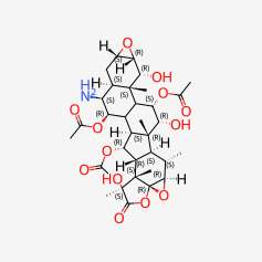 CC(=O)O[C@H]1[C@@H]2[C@H]([C@H](C)[C@H]3O[C@]34OC(=O)[C@@](C)(O)[C@]24C)[C@]2(C)[C@@H]1C1C([C@H](OC(C)=O)[C@@H]2O)[C@]2(C)[C@H](C[C@@H]3O[C@@H]3[C@@H]2O)[C@H](N)[C@@H]1OC(C)=O